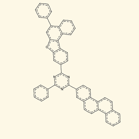 c1ccc(-c2nc(-c3ccc4c(ccc5c6ccccc6ccc45)c3)nc(-c3ccc4c(c3)oc3cc(-c5ccccc5)c5ccccc5c34)n2)cc1